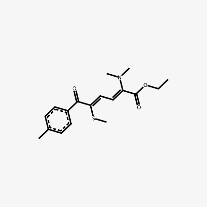 CCOC(=O)/C(=C/C=C(\SC)C(=O)c1ccc(C)cc1)N(C)C